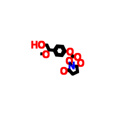 COC(CO)c1ccc(OC(=O)ON2C(=O)CCC2=O)cc1